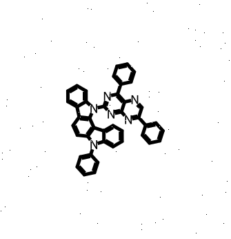 c1ccc(-c2cnc3c(-c4ccccc4)nc(-n4c5ccccc5c5ccc6c(c7ccccc7n6-c6ccccc6)c54)nc3n2)cc1